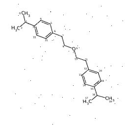 CC(C)c1ccc(CCOCCc2ccc(C(C)C)cc2)cc1